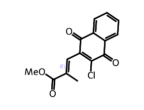 COC(=O)/C(C)=C/C1=C(Cl)C(=O)c2ccccc2C1=O